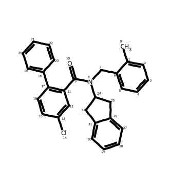 Cc1ccccc1CN(C(=O)c1cc(Cl)ccc1-c1ccccc1)C1Cc2ccccc2C1